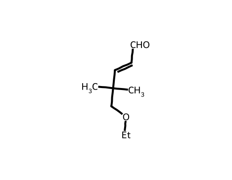 CCOCC(C)(C)/C=C/C=O